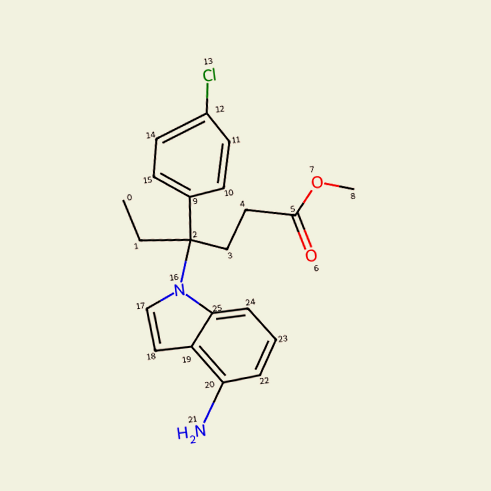 CCC(CCC(=O)OC)(c1ccc(Cl)cc1)n1ccc2c(N)cccc21